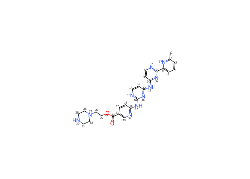 Cc1cccc(-c2nccc(Nc3ccnc(Nc4ccc(C(=O)OCCN5CCNCC5)cn4)n3)n2)n1